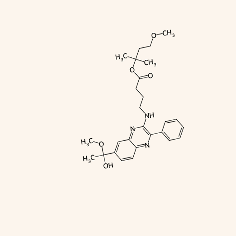 COCCC(C)(C)OC(=O)CCCNc1nc2cc(C(C)(O)OC)ccc2nc1-c1ccccc1